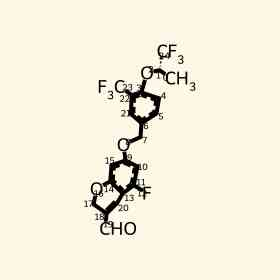 C[C@H](Oc1ccc(COc2cc(F)c3c(c2)OCC(C=O)=C3)cc1C(F)(F)F)C(F)(F)F